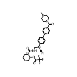 CN1CCN(C(=O)c2ccc(-c3ccc([C@@H](C#N)CNC(=O)[C@@H]4CCCCN4OC(=O)C(F)(F)F)cc3)cc2)CC1